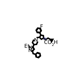 CCn1nc(Cc2ccccc2)cc1C1CCN(CC2C/C(=C(/CC3CC3)C(=O)O)CC2c2cccc(F)c2)CC1